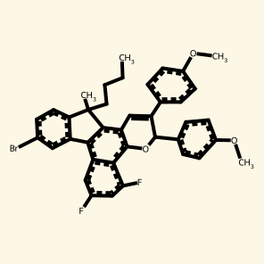 CCCCC1(C)c2ccc(Br)cc2-c2c1c1c(c3c(F)cc(F)cc23)OC(c2ccc(OC)cc2)C(c2ccc(OC)cc2)=C1